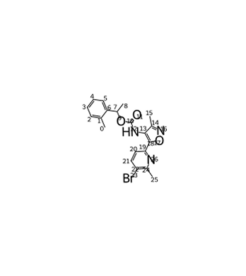 Cc1ccccc1C(C)OC(=O)Nc1c(C)noc1-c1ccc(Br)c(C)n1